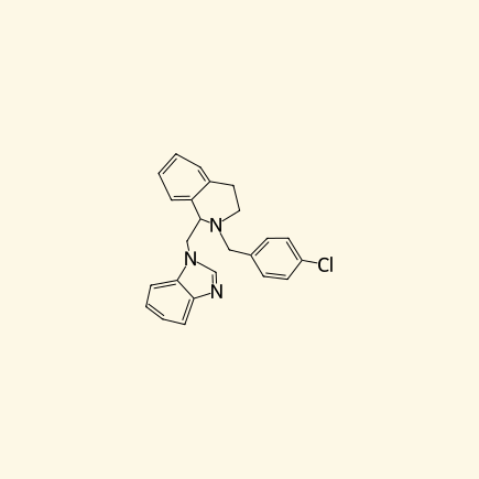 Clc1ccc(CN2CCc3ccccc3C2Cn2cnc3ccccc32)cc1